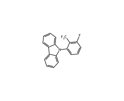 Fc1cccc(-n2c3ccccc3c3ccccc32)c1C(F)(F)F